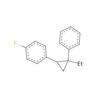 C[CH]C1(c2ccccc2)CC1c1ccc(F)cc1